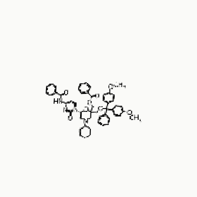 COc1ccc(C(OC[C@@]2(COC(=O)c3ccccc3)CN(C3CCCCC3)C[C@H](n3ccc(NC(=O)c4ccccc4)nc3=O)O2)(c2ccccc2)c2ccc(OC)cc2)cc1